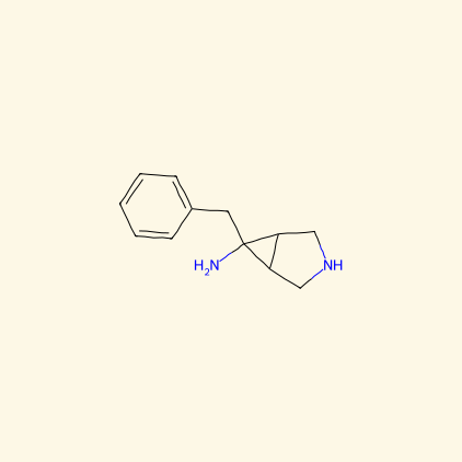 NC1(Cc2ccccc2)C2CNCC21